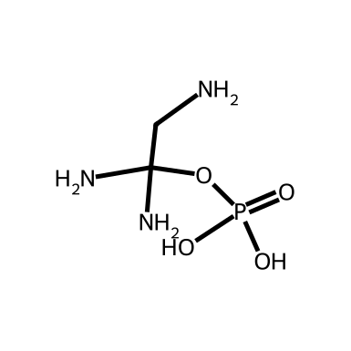 NCC(N)(N)OP(=O)(O)O